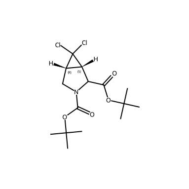 CC(C)(C)OC(=O)C1[C@@H]2[C@H](CN1C(=O)OC(C)(C)C)C2(Cl)Cl